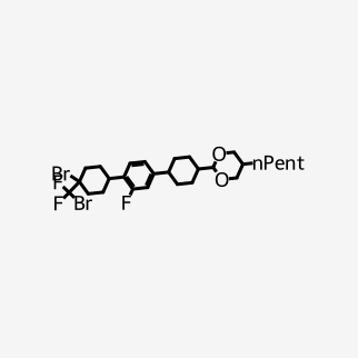 CCCCCC1COC(C2CCC(c3ccc(C4CCC(Br)(C(F)(F)Br)CC4)c(F)c3)CC2)OC1